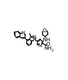 Cc1nn(-c2cnc(C(N)=O)c(NC3CCOCC3)c2)c2cccc(-c3cnc4ccccc4c3)c12